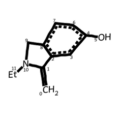 C=C1c2cc(O)ccc2CN1CC